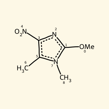 COc1nc([N+](=O)[O-])c(C)n1C